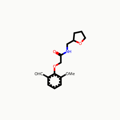 COc1cccc(C=O)c1OCC(=O)NCC1CCCO1